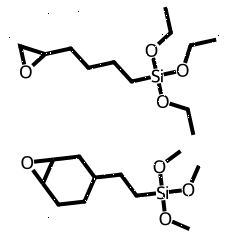 CCO[Si](CCCCC1CO1)(OCC)OCC.CO[Si](CCC1CCC2OC2C1)(OC)OC